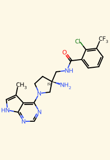 Cc1c[nH]c2ncnc(N3CC[C@](N)(CNC(=O)c4cccc(C(F)(F)F)c4Cl)C3)c12